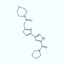 O=C(Cc1nc(-c2c[nH]c(C(=O)N3CCCC3)c2)cs1)N1CCOCC1